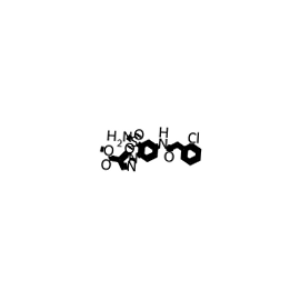 COC(=O)c1cnn(-c2ccc(NC(=O)Cc3ccccc3Cl)cc2S(N)(=O)=O)c1